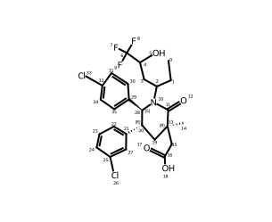 CCC(CC(O)C(F)(F)F)N1C(=O)[C@@](C)(CC(=O)O)C[C@H](c2cccc(Cl)c2)[C@H]1c1ccc(Cl)cc1